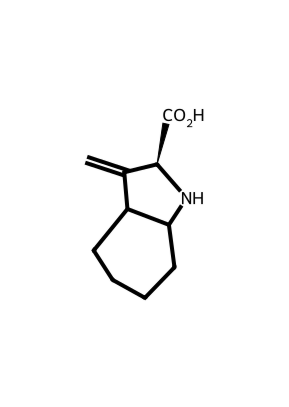 C=C1C2CCCCC2N[C@@H]1C(=O)O